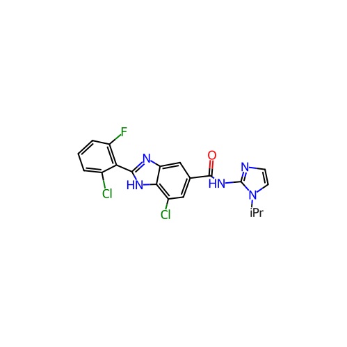 CC(C)n1ccnc1NC(=O)c1cc(Cl)c2[nH]c(-c3c(F)cccc3Cl)nc2c1